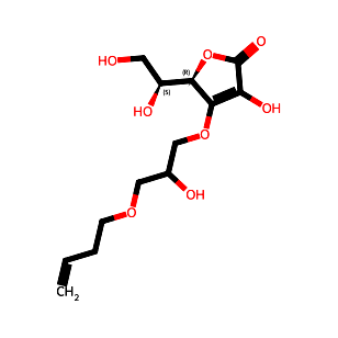 C=CCCOCC(O)COC1=C(O)C(=O)O[C@@H]1[C@@H](O)CO